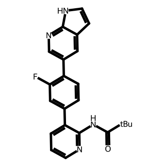 CC(C)(C)C(=O)Nc1ncccc1-c1ccc(-c2cnc3[nH]ccc3c2)c(F)c1